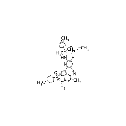 CCCC(=O)CC(Nc1nc(-c2cn(S(=O)(=O)c3ccc(C)cc3)c3c(C)cc(C)cc23)c(C#N)cc1F)C(C)(C)c1ccn(C)n1